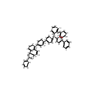 c1ccc(-c2ccc(N(c3ccc(-c4ccc(-c5cccc6c5ccc5oc(-c7ccccc7)nc56)cc4)cc3)c3ccccc3-c3ccccc3)cc2)cc1